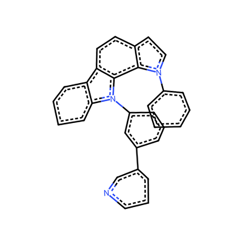 c1ccc(-n2ccc3ccc4c5ccccc5n(-c5cccc(-c6cccnc6)c5)c4c32)cc1